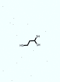 SCCC(S)S